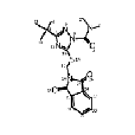 CN(C)C(=O)n1nc(C(C)(C)C)nc1SCN1C(=O)c2ccccc2C1=O